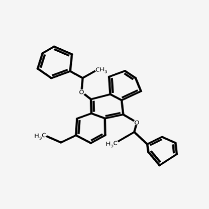 CCc1ccc2c(OC(C)c3ccccc3)c3ccccc3c(OC(C)c3ccccc3)c2c1